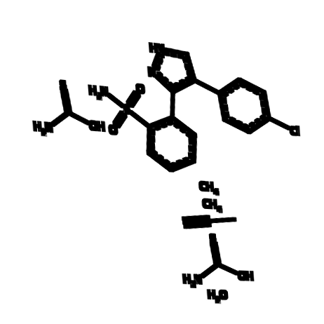 C.C.C#CC.NC(O)=S.NC(O)=S.NS(=O)(=O)c1ccccc1-c1n[nH]cc1-c1ccc(Cl)cc1.O